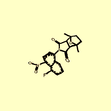 CC12CCC(C)(O1)C1C(=O)N(c3ccc([N+](=O)[O-])c4c(F)cccc34)C(=O)C12